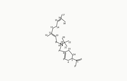 C=C(C)C1CC=C(CN(C/C=C(\C)CCC=C(C)C)C(C)(C)C)CC1